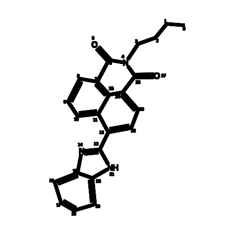 CCCCN1C(=O)c2cccc3c(-c4nc5ccccc5[nH]4)ccc(c23)C1=O